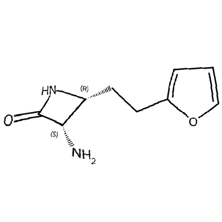 N[C@@H]1C(=O)N[C@@H]1CCc1ccco1